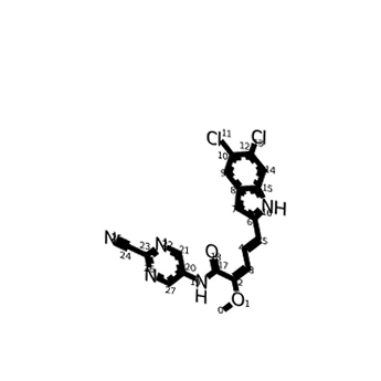 CO/C(=C/C=C/c1cc2cc(Cl)c(Cl)cc2[nH]1)C(=O)Nc1cnc(C#N)nc1